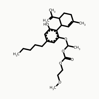 C=C(C)C1CCC(C)=CC1c1c(O)cc(CCCCC)cc1OC(C)OC(=O)OCCOC